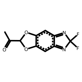 CC(=O)C1Oc2cc3c(cc2O1)=NC(F)(F)N=3